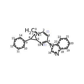 C=N/C=C\C(=N/C1CC1c1ccccc1)n1cnc2ccccc21